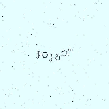 Cc1cc(-c2ccc(C(=O)Oc3ccc([N+](=O)[O-])cc3)o2)cc(C)c1O